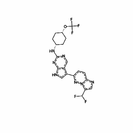 FC(F)c1cnc2ccc(-c3c[nH]c4nc(N[C@H]5CC[C@@H](OC(F)(F)F)CC5)ncc34)nn12